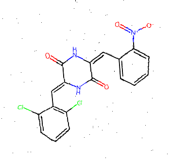 O=c1[nH]c(=Cc2c(Cl)cccc2Cl)c(=O)[nH]c1=Cc1ccccc1[N+](=O)[O-]